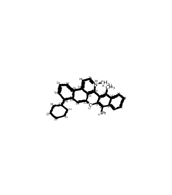 Cc1c2c(c(C(C)C)c3ccccc13)Oc1cc3c(C4CCCCC4)cccc3c3cc[n+](C)c-2c13